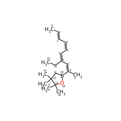 C/C=C/C=C\C=C(/C=C(/C)B1CC(C)(C)C(C)(C)O1)CC